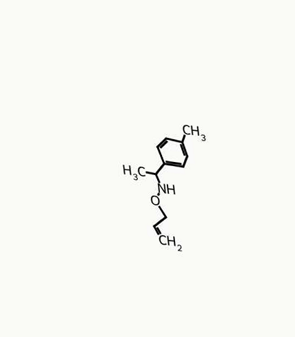 C=CCONC(C)c1ccc(C)cc1